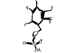 CS(=O)(=O)OCc1c(F)c(F)c(F)c(F)c1F